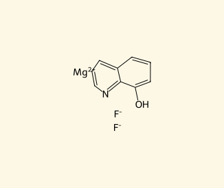 Oc1cccc2cccnc12.[F-].[F-].[Mg+2]